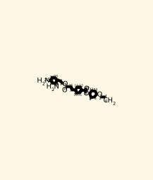 C=CCOC1CCC(OC(=O)c2ccc(/C=C/C(=O)OCCc3ccc(N)cc3N)cc2)CC1